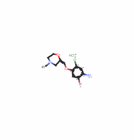 CC(C)N1CCOC(=COc2cc(Br)c(N)cc2Cl)C1.Cl